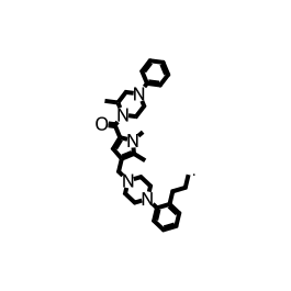 [CH2]CCc1ccccc1N1CCN(Cc2cc(C(=O)N3CCN(c4ccccc4)CC3C)n(C)c2C)CC1